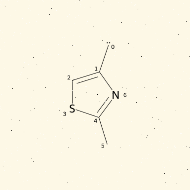 [CH]c1csc(C)n1